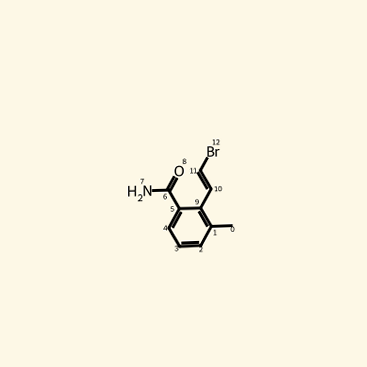 Cc1cccc(C(N)=O)c1C=CBr